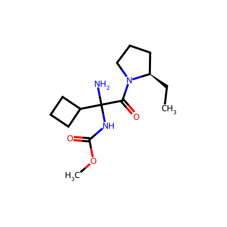 CC[C@@H]1CCCN1C(=O)C(N)(NC(=O)OC)C1CCC1